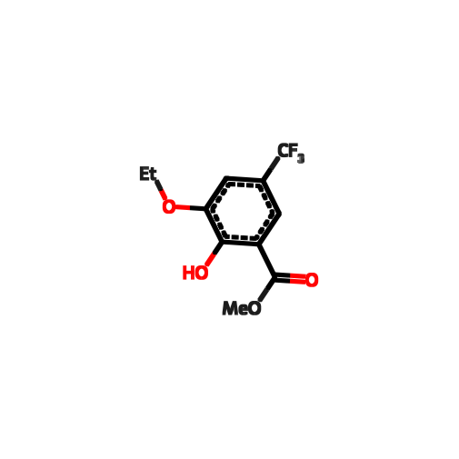 CCOc1cc(C(F)(F)F)cc(C(=O)OC)c1O